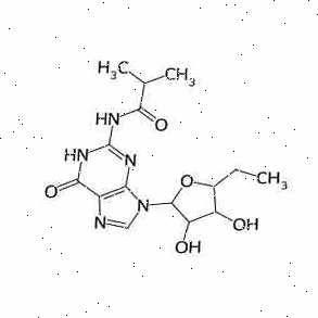 CCC1OC(n2cnc3c(=O)[nH]c(NC(=O)C(C)C)nc32)C(O)C1O